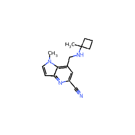 Cn1ccc2nc(C#N)cc(CNC3(C)CCC3)c21